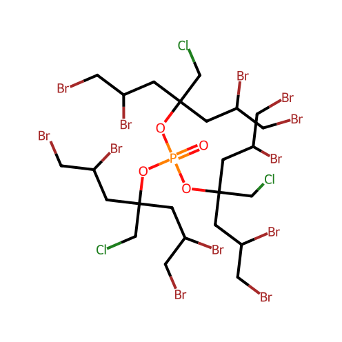 O=P(OC(CCl)(CC(Br)CBr)CC(Br)CBr)(OC(CCl)(CC(Br)CBr)CC(Br)CBr)OC(CCl)(CC(Br)CBr)CC(Br)CBr